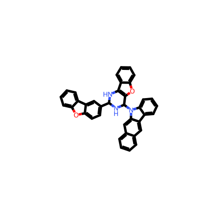 c1ccc2cc3c(cc2c1)c1ccccc1n3C1NC(c2ccc3oc4ccccc4c3c2)Nc2c1oc1ccccc21